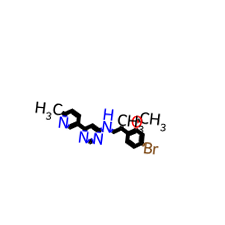 COc1cc(Br)ccc1C(C)CNc1cc(-c2ccc(C)nc2)ncn1